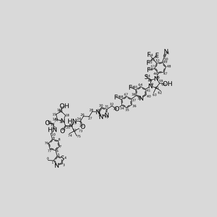 Cc1ncsc1-c1ccc(CNC(=O)[C@@H]2C[C@@H](O)CN2C(=O)[C@@H](NC(=O)CCCn2cc(COc3ccc(-c4ncc(N5C(=S)N(c6ccc(C#N)c(C(F)(F)F)c6F)C(O)C5(C)C)cc4F)cc3F)nn2)C(C)(C)C)cc1